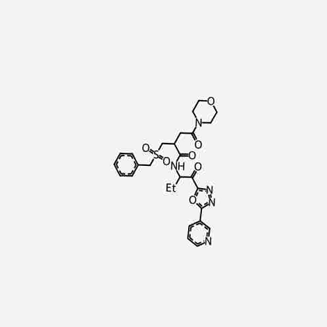 CCC(NC(=O)C(CC(=O)N1CCOCC1)CS(=O)(=O)Cc1ccccc1)C(=O)c1nnc(-c2cccnc2)o1